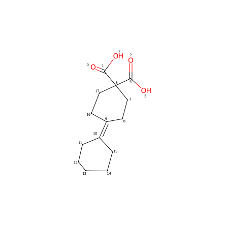 O=C(O)C1(C(=O)O)CCC(=C2CCCCC2)CC1